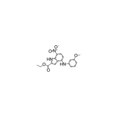 CCOC(=O)c1cc2c(Nc3cccc(OC)c3)ccc([N+](=O)[O-])c2[nH]1